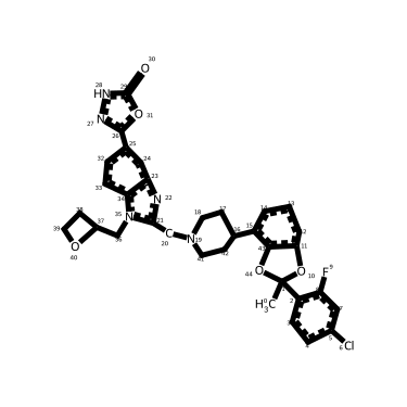 CC1(c2ccc(Cl)cc2F)Oc2cccc(C3CCN(Cc4nc5cc(-c6n[nH]c(=O)o6)ccc5n4CC4CCO4)CC3)c2O1